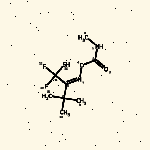 CNC(=O)ON=C(C(C)(C)C)C(F)(F)S